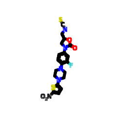 O=C1OC(CN=C=S)CN1c1ccc(N2CCN(c3ccc([N+](=O)[O-])s3)CC2)c(F)c1